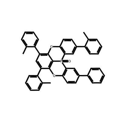 Cc1ccccc1-c1ccc2c(c1)P1(=O)c3cc(-c4ccccc4)ccc3Oc3c(-c4ccccc4C)cc(-c4ccccc4C)c(c31)O2